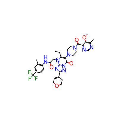 CCc1c(N2CCN(C(=O)c3ncnc(C)c3OC)CC2)c(=O)n2nc(C3=CCOCC3)nc2n1CC(=O)Nc1ccc(C(F)(F)F)cc1C